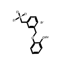 CC[N+](CC)(CC)Cc1cccc(COc2ccccc2OC)c1.[Br-]